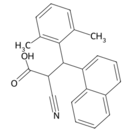 Cc1cccc(C)c1C(c1cccc2ccccc12)C(C#N)C(=O)O